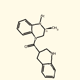 CC(=O)N1c2ccccc2N(C(=O)C2CNc3ccccc3C2)C[C@@H]1C